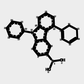 OB(O)c1ccc2c(c1)c1c(C3=CC=CCC3)cccc1n2-c1ccccc1